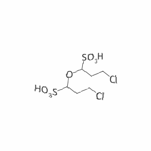 O=S(=O)(O)C(CCCl)OC(CCCl)S(=O)(=O)O